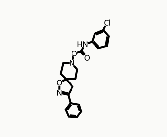 O=C(Nc1cccc(Cl)c1)ON1CCC2(CC1)CC(c1ccccc1)=NO2